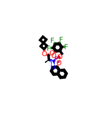 Cc1c(F)c(F)c(F)c(F)c1OP(=O)(N[C@@H](C)C(=O)OC1CC2(CCC2)C1)Oc1cccc2ccccc12